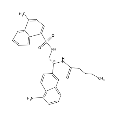 CCCCC(=O)N[C@@H](CNS(=O)(=O)c1ccc(C)c2ccccc12)c1ccc2c(N)cccc2c1